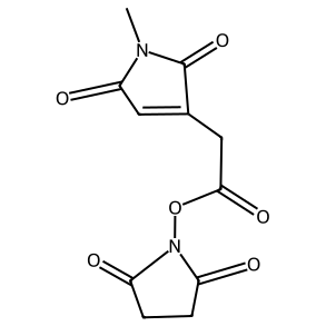 CN1C(=O)C=C(CC(=O)ON2C(=O)CCC2=O)C1=O